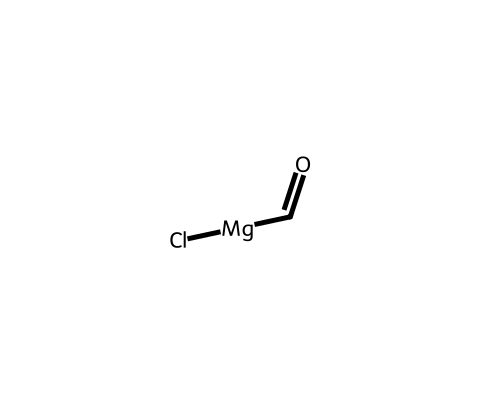 O=[CH][Mg][Cl]